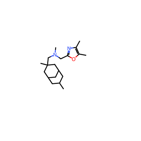 Cc1nc(CN(C)CC2(C)CC3CC(C)CC(C3)C2)oc1C